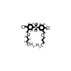 CCCCOCc1cc(S(=O)(=O)c2ccc(Cl)c(COCCCC)c2)ccc1Cl